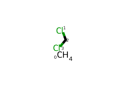 C.ClCCl